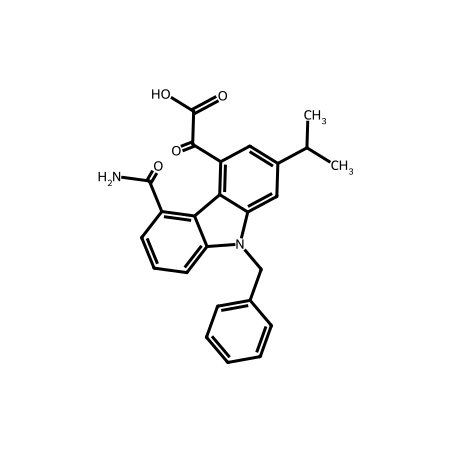 CC(C)c1cc(C(=O)C(=O)O)c2c3c(C(N)=O)cccc3n(Cc3ccccc3)c2c1